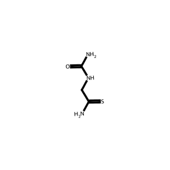 NC(=O)NCC(N)=S